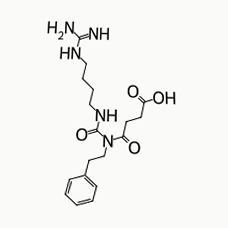 N=C(N)NCCCCNC(=O)N(CCc1ccccc1)C(=O)CCC(=O)O